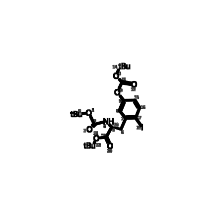 CC(C)(C)OC(=O)N[C@@H](Cc1cc(OC(=O)OC(C)(C)C)ccc1I)C(=O)OC(C)(C)C